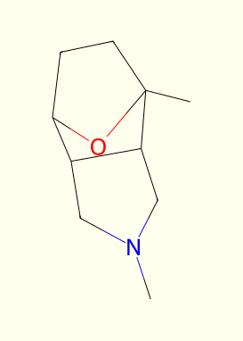 CN1CC2C3CCC(C)(O3)C2C1